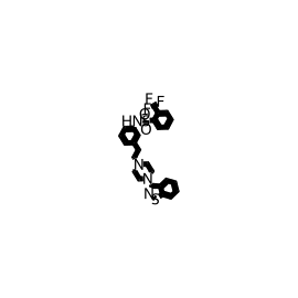 O=S(=O)(Nc1cccc(CCN2CCN(c3nsc4ccccc34)CC2)c1)c1ccccc1C(F)(F)F